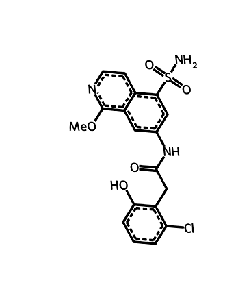 COc1nccc2c(S(N)(=O)=O)cc(NC(=O)Cc3c(O)cccc3Cl)cc12